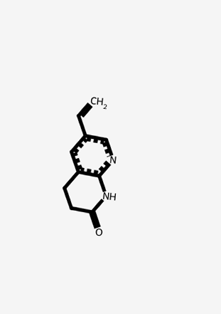 C=Cc1cnc2c(c1)CCC(=O)N2